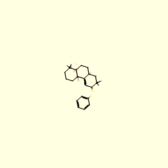 CC1(C=O)CC2CC[C@@H]3C(C)(C)CCC[C@@]3(C)C2=CC1Sc1ccccc1